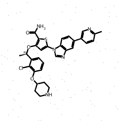 Cc1ccc(-c2ccc3c(c2)ncn3-c2cc(O[C@H](C)c3cccc(OC4CCNCC4)c3Cl)c(C(N)=O)s2)cn1